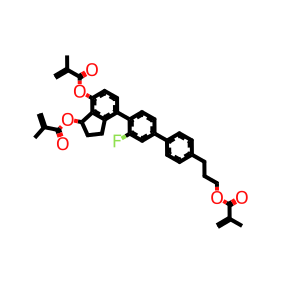 C=C(C)C(=O)OCCCc1ccc(-c2ccc(-c3ccc(OC(=O)C(=C)C)c4c3CCC4OC(=O)C(=C)C)c(F)c2)cc1